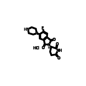 Cl.O=C1CC[C@H](N2C(=O)c3cc(F)c(N4CCNCC4)cc3C2=O)C(=O)N1